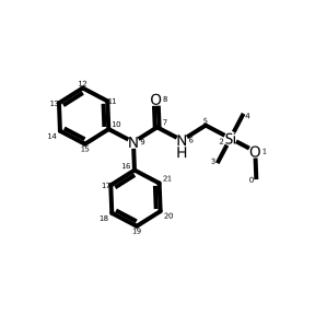 CO[Si](C)(C)CNC(=O)N(c1ccccc1)c1ccccc1